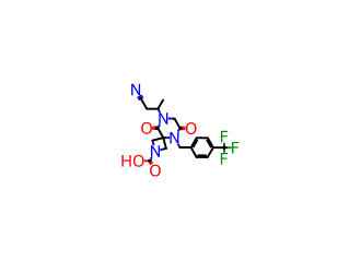 CC(CC#N)N1CC(=O)N(Cc2ccc(C(F)(F)F)cc2)C2(CN(C(=O)O)C2)C1=O